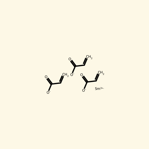 C=CC(=O)[O-].C=CC(=O)[O-].C=CC(=O)[O-].[Sm+3]